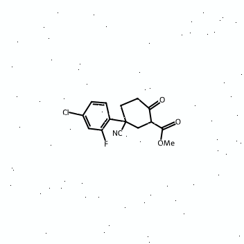 COC(=O)C1CC(C#N)(c2ccc(Cl)cc2F)CCC1=O